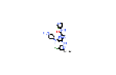 CC(=O)Nc1cc(Cl)cc(Nc2cc(NC3CCC(N)CC3)nn3c(C(=O)Nc4ccncc4F)cnc23)n1